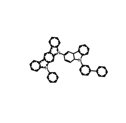 C1=CC2C(C=C1n1c3ccccc3c3cc4c5ccccc5n(-c5ccccc5)c4cc31)c1ccccc1N2c1cccc(-c2ccccc2)c1